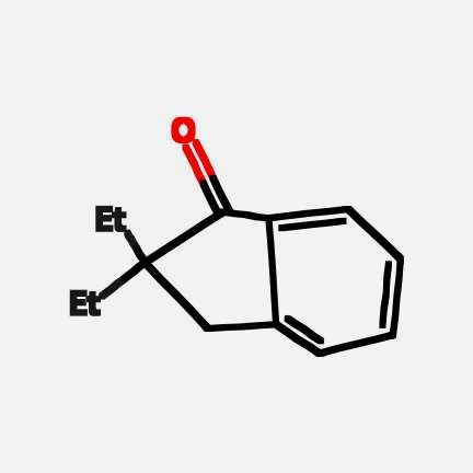 CCC1(CC)Cc2ccccc2C1=O